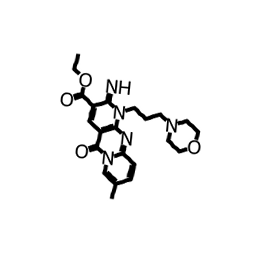 CCOC(=O)c1cc2c(=O)n3cc(C)ccc3nc2n(CCCN2CCOCC2)c1=N